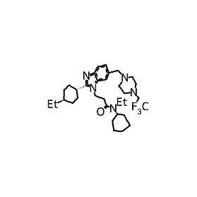 CCN(C(=O)CCn1c2cc(CN3CCN(CC(F)(F)F)CC3)ccc2nc1[C@H]1CC[C@H](CC)CC1)C1CCCCC1